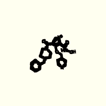 Cn1cc(C(=O)N2CCN(Cc3ccccc3)CC2)c(OCc2ccncc2)c1C(=O)NO